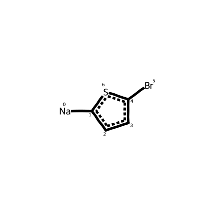 [Na][c]1ccc(Br)s1